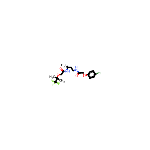 C=C(CCNC(=O)COc1ccc(Cl)cc1)NC(=O)COC(C)(C)C(F)(F)F